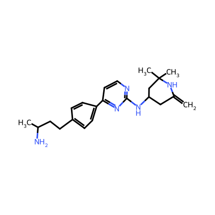 C=C1CC(Nc2nccc(-c3ccc(CCC(C)N)cc3)n2)CC(C)(C)N1